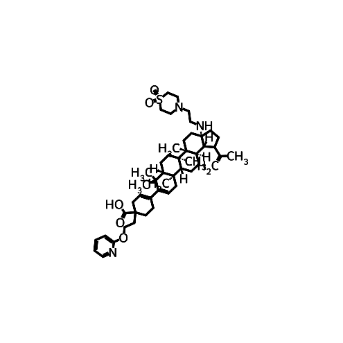 C=C(C)C1CC[C@]2(NCCN3CCS(=O)(=O)CC3)CC[C@]3(C)[C@H](CC[C@@H]4[C@@]5(C)CC=C(C6=CCC(CCOc7ccccn7)(C(=O)O)CC6)C(C)(C)[C@@H]5CC[C@]43C)[C@@H]12